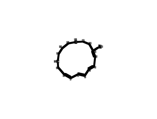 [Al]/[C]1=C/C=C/C=C/C=C\CCCCCCCC1